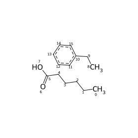 CCCCCC(=O)O.CCc1ccccc1